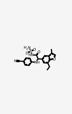 CCc1cc(C(Nc2ccc(C#N)cc2)C(=O)NS(N)(=O)=O)cc2c(C)coc12